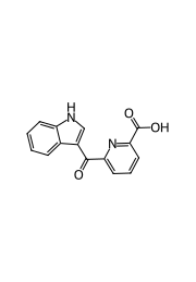 O=C(O)c1cccc(C(=O)c2c[nH]c3ccccc23)n1